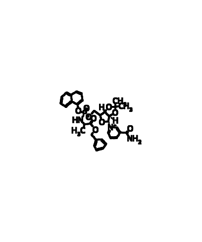 CC(NP(=O)(OCC1O[C@@H]([n+]2cccc(C(N)=O)c2)[C@@H]2OC(C)(C)O[C@H]12)Oc1cccc2ccccc12)C(=O)OCc1ccccc1